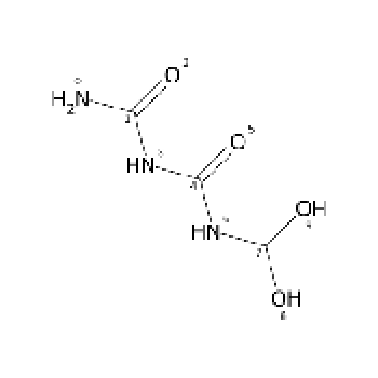 NC(=O)NC(=O)NC(O)O